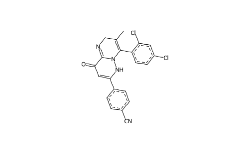 CC1=C(c2ccc(Cl)cc2Cl)N2NC(c3ccc(C#N)cc3)=CC(=O)C2=NC1